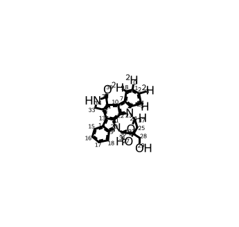 [2H]c1c([2H])c([2H])c2c(c1[2H])c1c3c(c4c5ccccc5n5c4c1n2[C@H]1C[C@](O)(CO)[C@]5(C)O1)CNC3=O